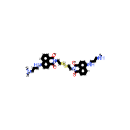 CNCCCNc1ccc2c3c(cccc13)C(=O)N(CCSSCCN1C(=O)c3cccc4c(NCCCN(C)C)ccc(c34)C1=O)C2=O